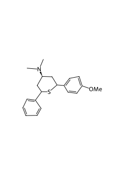 COc1ccc(C2C[C@H](N(C)C)CC(c3ccccc3)S2)cc1